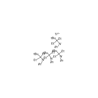 CCC(CC)([N-]C(C)C)C(C)(C)C.CCC(CC)([N-]C(C)C)C(C)(C)C.CCC(CC)([N-]C(C)C)C(C)(C)C.CCC(CC)([N-]C(C)C)C(C)(C)C.[Ti+4]